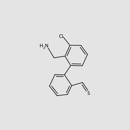 NCc1c(Cl)cccc1-c1ccccc1C=S